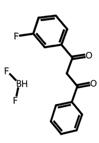 FBF.O=C(CC(=O)c1cccc(F)c1)c1ccccc1